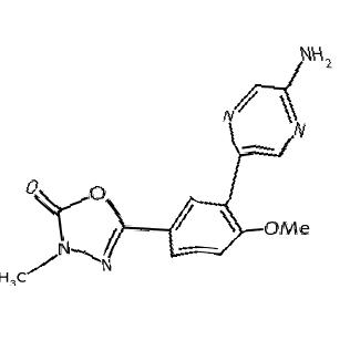 COc1ccc(-c2nn(C)c(=O)o2)cc1-c1cnc(N)cn1